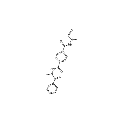 CN(C=S)NC(=O)c1ccc(C(=O)NN(C)C(=S)c2ccccc2)cc1